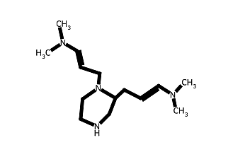 CN(C)C=CCC1CNCCN1CC=CN(C)C